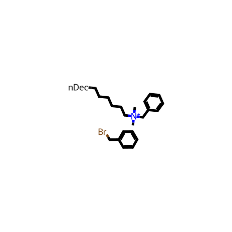 BrCc1ccccc1.CCCCCCCCCCCCCCCC[N+](C)(C)Cc1ccccc1